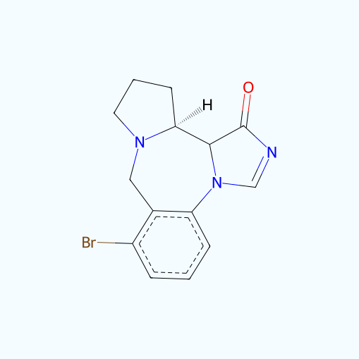 O=C1N=CN2c3cccc(Br)c3CN3CCC[C@H]3C12